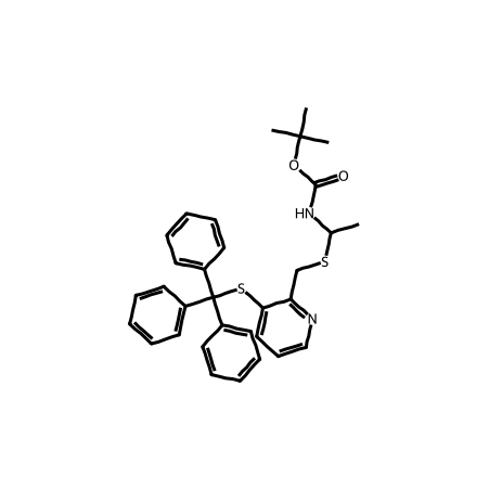 CC(NC(=O)OC(C)(C)C)SCc1ncccc1SC(c1ccccc1)(c1ccccc1)c1ccccc1